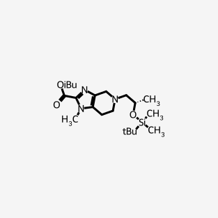 CC(C)COC(=O)c1nc2c(n1C)CCN(C[C@H](C)O[Si](C)(C)C(C)(C)C)C2